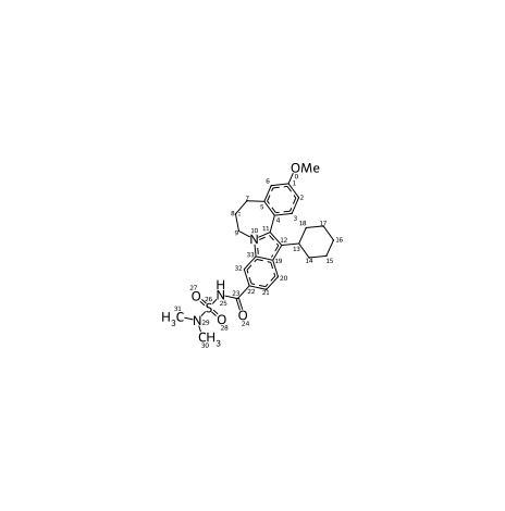 COc1ccc2c(c1)C[C]Cn1c-2c(C2CCCCC2)c2ccc(C(=O)NS(=O)(=O)N(C)C)cc21